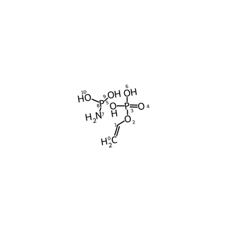 C=COP(=O)(O)O.NP(O)O